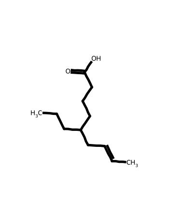 CC=CCC(CCC)CCCC(=O)O